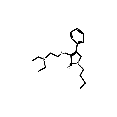 CCCCN1CC(c2ccccc2)=C(OCCN(CC)CC)C1=O